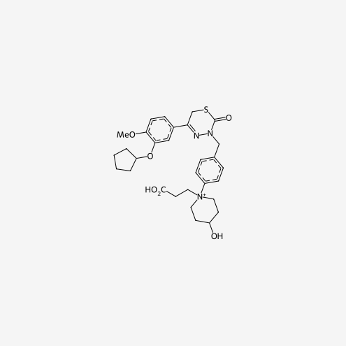 COc1ccc(C2=NN(Cc3ccc([N+]4(CCC(=O)O)CCC(O)CC4)cc3)C(=O)SC2)cc1OC1CCCC1